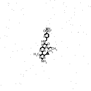 CC[C@@H](C)n1c(=O)c(NCc2ccc(S(N)(=O)=O)cn2)nc2cnc(-c3c(C)nc(N)nc3C3CC3)nc21